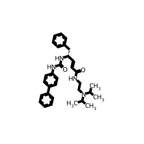 CC(C)N(CCNC(=O)/C=C/[C@@H](Cc1ccccc1)NC(=O)Nc1ccc(-c2ccccc2)cc1)C(C)C